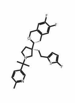 Cc1ccc(C(C)(C)N2CC[C@@](CCc3ccc(F)s3)([C@H]3Cc4cc(F)c(F)cc4CO3)C2)cn1